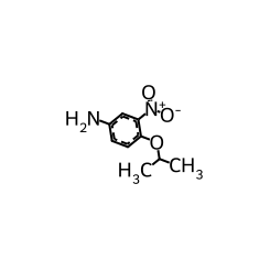 CC(C)Oc1ccc(N)cc1[N+](=O)[O-]